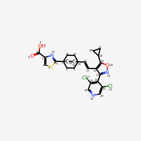 O=C(O)c1csc(C23CCC(/C=C/c4c(-c5c(Cl)cncc5Cl)noc4C4CC4)(CC2)CC3)n1